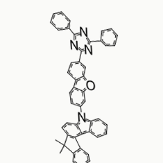 CC1(C)c2ccccc2-c2c1ccc1c2c2ccccc2n1-c1ccc2c(c1)oc1cc(-c3nc(-c4ccccc4)nc(-c4ccccc4)n3)ccc12